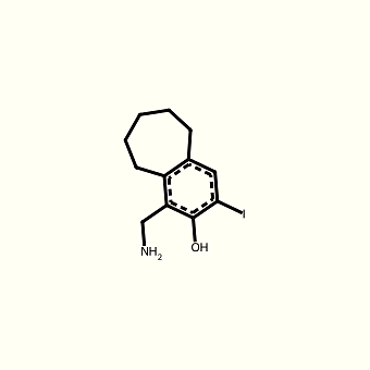 NCc1c(O)c(I)cc2c1CCCCC2